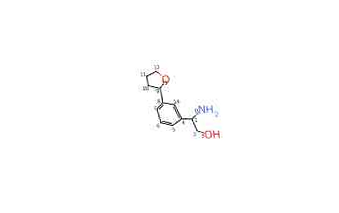 NC(CO)c1cccc(C2CCCO2)c1